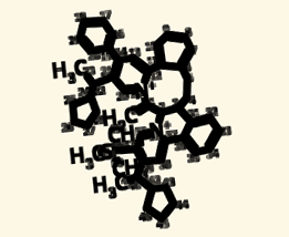 C=C1C2C(CCc3ccccc3-c3cc(-c4ccccc4)c(C(C)C4CCCC4)c[n+]31)c1ccccc1-c1cc(C(C)C3CCCC3)c([Si](C)(C)C)c[n+]12